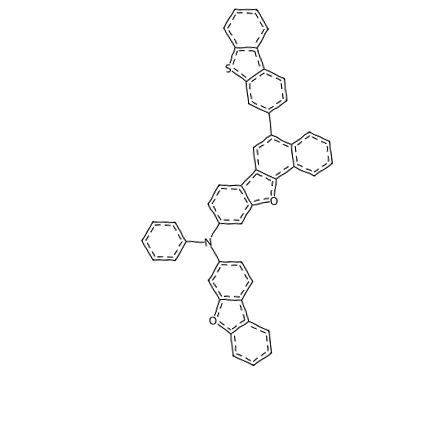 c1ccc(N(c2ccc3c(c2)oc2ccccc23)c2ccc3c(c2)oc2c4ccccc4c(-c4ccc5c(c4)sc4ccccc45)cc32)cc1